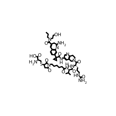 CCCN(CCO)C(=O)C1=Cc2ccc(C3(C(=O)Nc4cnc5c(c4)CN(C(=O)[C@H](CCCNC(N)=O)NC(=O)[C@@H](NC(=O)CCCCCN4C(=O)CC(SC[C@H](N)C(=O)O)C4=O)C(C)C)CC5)CC3)cc2N=C(N)C1